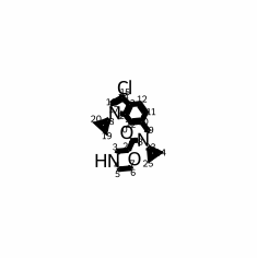 O=C(C1CNCCO1)N(Cc1ccc2c(Cl)cn(C3CC3)c2c1)C1CC1